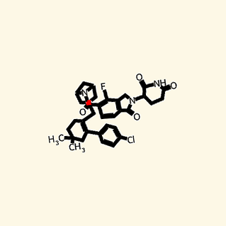 CC1(C)CCC(CN2CC3CC(C2)N3C(=O)c2ccc3c(c2F)CN(C2CCC(=O)NC2=O)C3=O)=C(c2ccc(Cl)cc2)C1